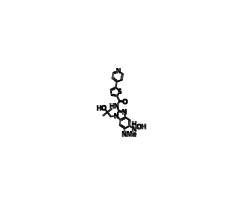 CNc1cc2c(cc1NO)nc(NC(=O)c1ccc(-c3ccncc3)s1)n2CC(C)(C)O